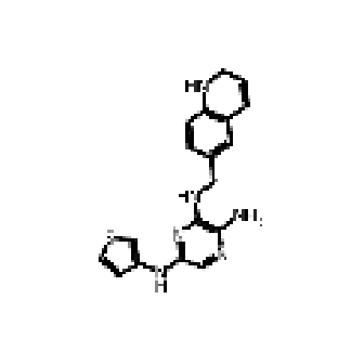 Nc1ncc(Nc2ccsc2)nc1NCc1ccc2c(c1)C=CCN2